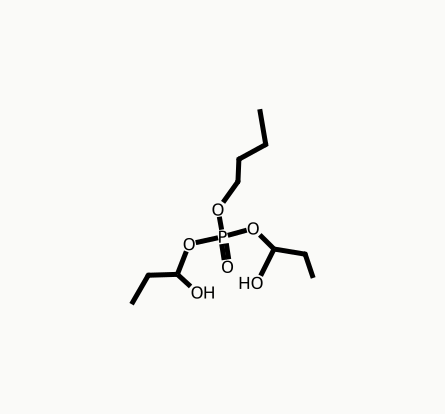 CCCCOP(=O)(OC(O)CC)OC(O)CC